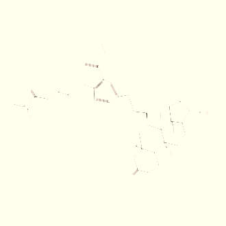 COC(=O)c1cc(CCC[C@@H]2C[C@H]3CC(=O)CC[C@]3(C)[C@H]3CC[C@]4(C)[C@@H](O)CC[C@H]4[C@H]23)ccc1OCCCC(=O)N(C)C